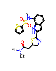 CCN(CC)C(=O)CC1CN=C(c2cc3cccc(N(C)S(=O)(=O)c4cccs4)c3[nH]2)S1